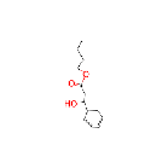 CCCCOC(=O)CC(O)c1ccccc1